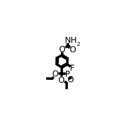 CCOC(OCC)(P=O)c1ccc(OC(N)=O)cc1F